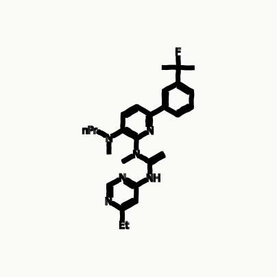 C=C(Nc1cc(CC)ncn1)N(C)c1nc(-c2cccc(C(C)(C)F)c2)ccc1N(C)CCC